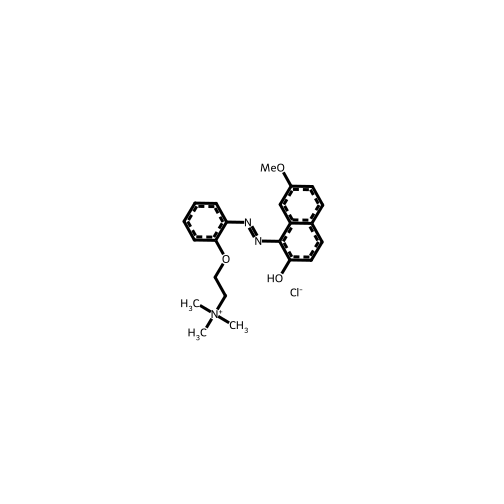 COc1ccc2ccc(O)c(N=Nc3ccccc3OCC[N+](C)(C)C)c2c1.[Cl-]